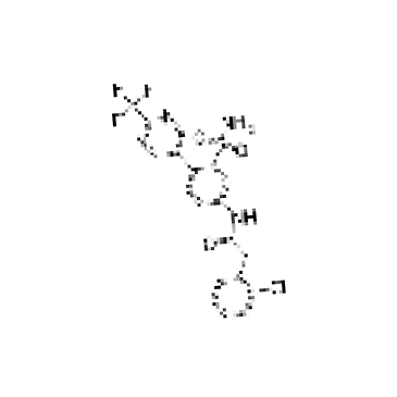 NS(=O)(=O)c1cc(NC(=O)Cc2ccccc2Cl)ccc1-c1cnc(C(F)(F)F)nc1